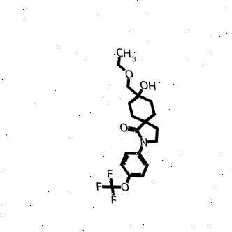 CCOCC1(O)CCC2(CCN(c3ccc(OC(F)(F)F)cc3)C2=O)CC1